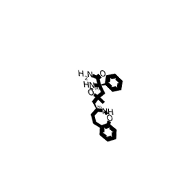 CC1(C[C@@H]2CCc3ccccc3ON2)C[C@](C(N)=O)(c2ccccc2)NO1